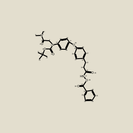 CN(C)C(=O)CN(C(=O)OC(C)(C)C)c1ccc(Oc2ccc(CCC(=O)NOC(=O)c3ccccc3)cc2)cc1